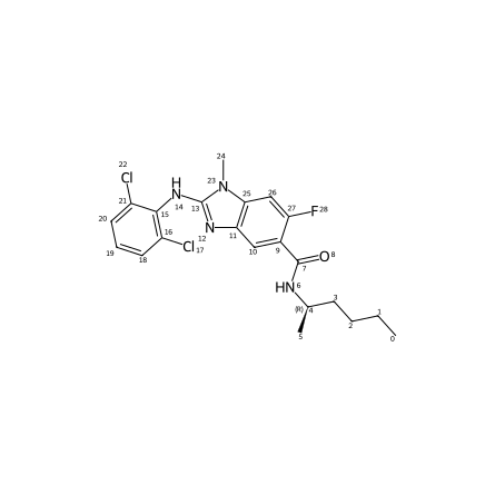 CCCC[C@@H](C)NC(=O)c1cc2nc(Nc3c(Cl)cccc3Cl)n(C)c2cc1F